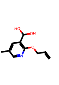 C=CCOc1ncc(C)cc1C(O)O